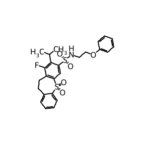 CC(C)c1c(S(=O)(=O)NCCOc2ccccc2)cc2c(c1F)CCc1ccccc1S2(=O)=O